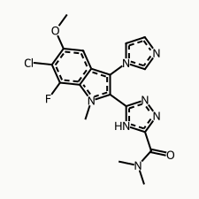 COc1cc2c(-n3ccnc3)c(-c3nnc(C(=O)N(C)C)[nH]3)n(C)c2c(F)c1Cl